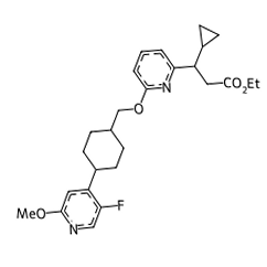 CCOC(=O)CC(c1cccc(OCC2CCC(c3cc(OC)ncc3F)CC2)n1)C1CC1